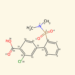 CN(C)S(=O)(=O)c1ccccc1-c1ccc(C(=O)O)c(Cl)c1